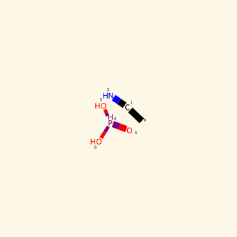 C=C=N.O=[PH](O)O